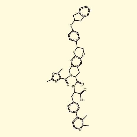 Cc1nc(C(=O)N2Cc3cc4c(cc3C[C@H]2C(=O)NC(Cc2ccc(-c3ccnc(C)c3C)cc2)C(=O)O)OC[C@H](c2ccc(OC3Cc5ccccc5C3)cc2)O4)c(C)o1